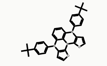 CC(C)(C)c1ccc(N2c3ccoc3B3c4occc4N(c4ccc(C(C)(C)C)cc4)c4cccc2c43)cc1